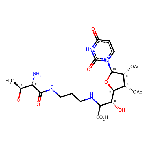 CC(=O)O[C@H]1[C@@H](OC(C)=O)[C@H](n2ccc(=O)[nH]c2=O)O[C@@H]1[C@H](O)C(NCCCNC(=O)[C@@H](N)[C@H](C)O)C(=O)O